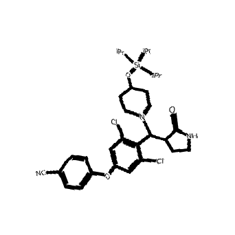 CC(C)[Si](OC1CCN(C(c2c(Cl)cc(Oc3ccc(C#N)cc3)cc2Cl)C2CCNC2=O)CC1)(C(C)C)C(C)C